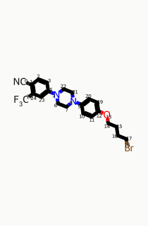 N#Cc1ccc(N2CCN(c3ccc(OCCCCBr)cc3)CC2)cc1C(F)(F)F